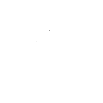 CC(C)C1=Cc2[nH]cnc2CC1C